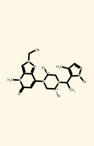 CC[C@H]1CN(C(C)c2c(C)cnn2CC)[C@H](CC)CN1c1cc(=O)n(C)c2cn(CC#N)nc12